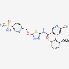 COc1cccc(F)c1-c1cc(C)ncc1C(=O)Nc1nnc(OCc2ccc([S@](C)(=N)=O)cn2)s1